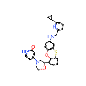 O=c1cc(N2CCOC(c3cccc4c3Oc3ccc(NCc5cccc(C6CC6)n5)cc3S4)C2)cc[nH]1